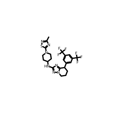 Cc1nsc(N2CCC(Nc3nc4n(n3)CCCC4c3cc(C(F)(F)F)cc(C(F)(F)F)c3)CC2)n1